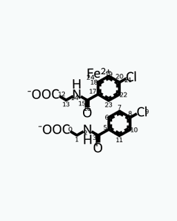 O=C([O-])CNC(=O)c1ccc(Cl)cc1.O=C([O-])CNC(=O)c1ccc(Cl)cc1.[Fe+2]